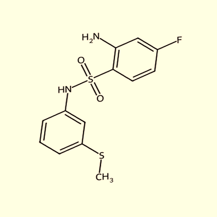 CSc1cccc(NS(=O)(=O)c2ccc(F)cc2N)c1